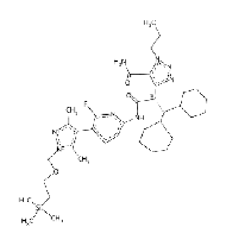 CCCn1nnc([C@@H](C(=O)Nc2ccc(-c3c(C)nn(COCC[Si](C)(C)C)c3C)c(F)n2)C(C2CCCCC2)C2CCCCC2)c1C(N)=O